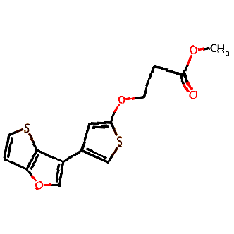 COC(=O)CCOc1cc(-c2coc3ccsc23)cs1